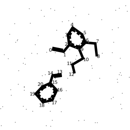 C=Cc1cccc(CC)c1CCC.C=Cc1ccccc1